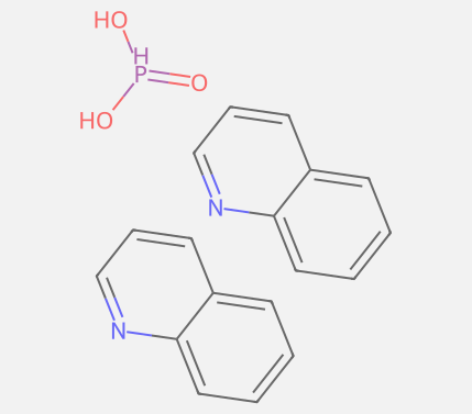 O=[PH](O)O.c1ccc2ncccc2c1.c1ccc2ncccc2c1